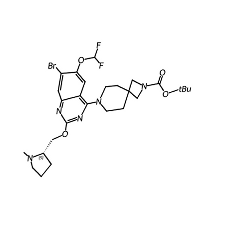 CN1CCC[C@H]1COc1nc(N2CCC3(CC2)CN(C(=O)OC(C)(C)C)C3)c2cc(OC(F)F)c(Br)cc2n1